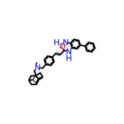 CN(Cc1ccc(/C=C/C(=O)Nc2cc(-c3ccccc3)ccc2N)cc1)CC12CC3CC=C1C(C3)C2